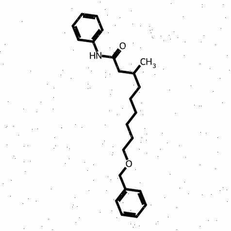 CC(CCCCCCOCc1ccccc1)CC(=O)Nc1ccccc1